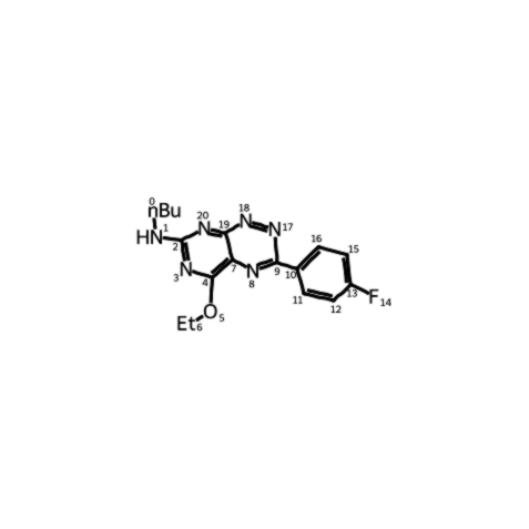 CCCCNc1nc(OCC)c2nc(-c3ccc(F)cc3)nnc2n1